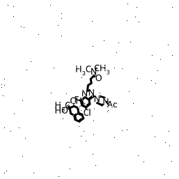 CC(=O)N1CCN(c2nc(CCCC(=O)N(C)C)nc3c(F)c([C@@H]4c5ccccc5CC(C)(O)[C@@H]4C)c(Cl)cc23)CC1